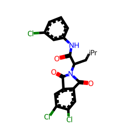 CC(C)CC(C(=O)Nc1cccc(Cl)c1)N1C(=O)c2cc(Cl)c(Cl)cc2C1=O